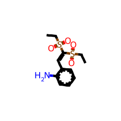 CCS(=O)(=O)C(=Cc1ccccc1N)S(=O)(=O)CC